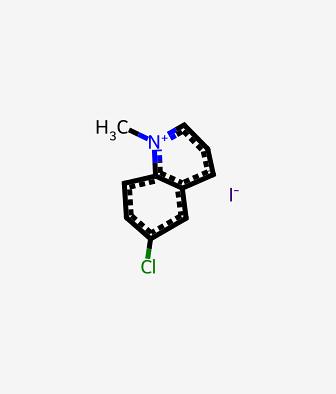 C[n+]1cccc2cc(Cl)ccc21.[I-]